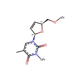 CCCOC[C@@H]1C=C[C@H](n2cc(C)c(=O)n(CCC)c2=O)O1